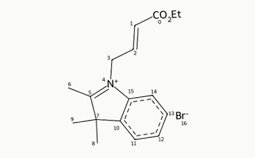 CCOC(=O)C=CC[N+]1=C(C)C(C)(C)c2ccccc21.[Br-]